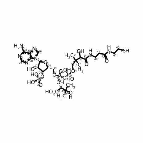 CC(C)(COP(=O)(O)OP(=O)(O)OC[C@H]1O[C@@H](n2cnc3c(N)ncnc32)[C@H](O)[C@@H]1OP(=O)(O)O)C(O)C(=O)NCCC(=O)NCCS.CC(C)(O)CC(=O)O